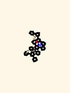 c1ccc(-c2cc(-c3ccccc3)cc([Si](c3ccccc3)(c3ccccc3)c3cc(-c4ccccc4)c(-n4c5ccccc5c5cc(-c6cccc7c6sc6ccccc67)ccc54)c(-c4ccccc4)c3)c2)cc1